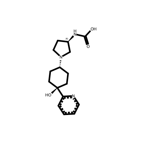 O=C(O)N[C@@H]1CCN([C@H]2CC[C@@](O)(c3ccccn3)CC2)C1